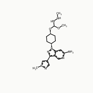 CNNC(OC)O[C@H]1CC[C@@H](n2nc(-c3cnn(C)c3)c3cnc(N)cc32)CC1